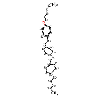 CCCCCOc1ccc(CCC2CCC(CCC3CCC(CCCCC)CC3)CC2)cc1